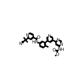 COC(=O)Nc1cc(-c2cncc(-c3cc(NC(=O)c4ccnc(C(C)(C)C#N)c4)ccc3C)c2)ncn1